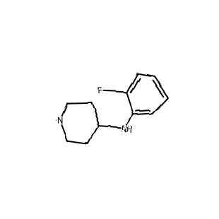 Fc1ccccc1NC1CC[N]CC1